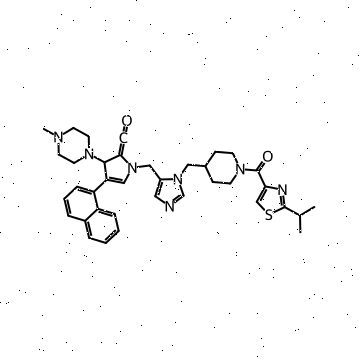 CC(C)c1nc(C(=O)N2CCC(Cn3cncc3CN3C=C(c4cccc5ccccc45)C(N4CCN(C)CC4)C3=C=O)CC2)cs1